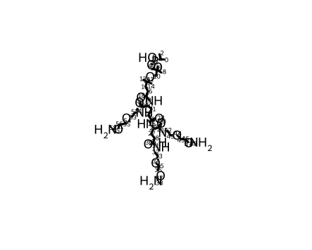 CC(C)P(=O)(O)OC(C)(C)COC(C)(C)CCC(=O)NC(CCC(=O)NC(CCC(=O)NCCOCCON)C(=O)NCCOCCON)C(=O)NCCOCCON